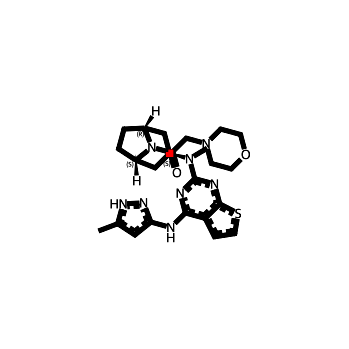 Cc1cc(Nc2nc(N(C)[C@@H]3C[C@H]4CC[C@@H](C3)N4C(=O)CN3CCOCC3)nc3sccc23)n[nH]1